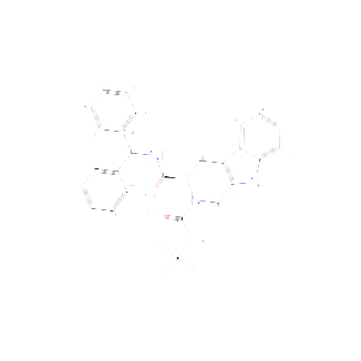 CC(C)(C)OC(=O)N1Cc2[nH]c3ccccc3c2C[C@@H]1C(=O)NC(c1ccccc1)c1ccccc1